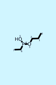 CCCOP(O)CC